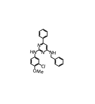 COc1ccc(Nc2nc(NCc3ccccc3)cc(-c3ccccc3)n2)cc1Cl